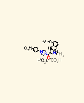 COc1cccc2c1C[C@H]1C[C@@H](C(=O)N3CCN(c4ccc([N+](=O)[O-])cc4)CC3)CN(C)[C@@H]1C2.O=C(O)CC(=O)O